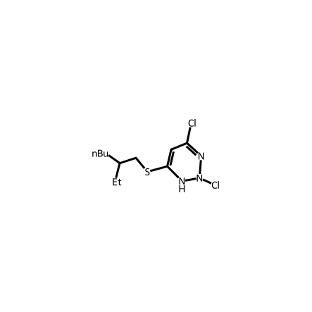 CCCCC(CC)CSC1=CC(Cl)=NN(Cl)N1